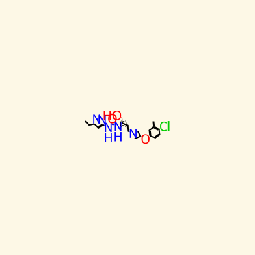 CCc1cc(NC(=O)N[C@H](CO)CCN2CC(Oc3ccc(Cl)c(C)c3)C2)n(C)n1